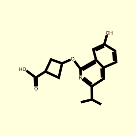 CC(C)c1cc2ccc(O)cc2c(OC2CC(C(=O)O)C2)n1